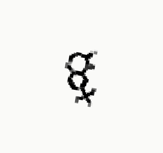 O=C1CC=Nc2ccc(C(F)(F)F)cc2N1